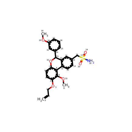 C=CCOc1ccc2c(c1OC)-c1ccc(CS(N)(=O)=O)cc1C(c1cccc(OC)c1)O2